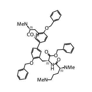 CNCCC[C@H](NC)C(=O)N[C@@H](Cc1cc(-c2ccc(OCc3ccccc3)c(C[C@H](NC)C(=O)O)c2)ccc1OCc1ccccc1)C(=O)OCc1ccccc1